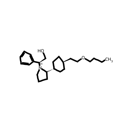 CCCCOCC[C@H]1CC[C@H](C2CCCN2[C@H](CO)c2ccccc2)CC1